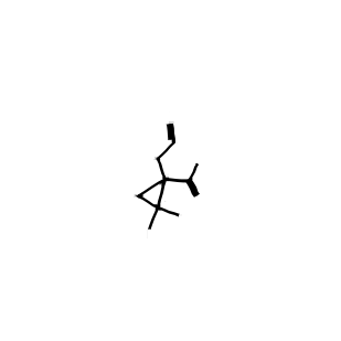 C=CCC1(C(=O)Cl)CC1(Cl)Cl